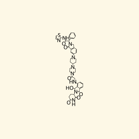 O=C1CCC(N2C(=O)c3cccc(NCC(=O)N4CCN(C5CCN(c6ccc7c(c6)C(=O)N(C(C(=O)Nc6nccs6)c6ccccc6)C7)CC5)CC4)c3C2O)C(=O)N1